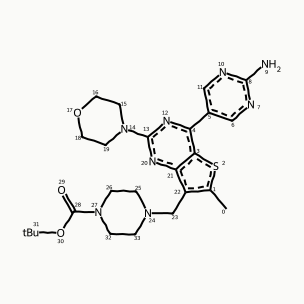 Cc1sc2c(-c3cnc(N)nc3)nc(N3CCOCC3)nc2c1CN1CCN(C(=O)OC(C)(C)C)CC1